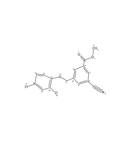 COC(=O)c1cc(C#N)cc(COc2ccc(Cl)cc2Cl)c1